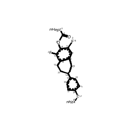 CCCCCCCC(=O)Oc1c(F)cc2c(c1F)CCC(c1ccc(OCCCCCC)cc1)C2